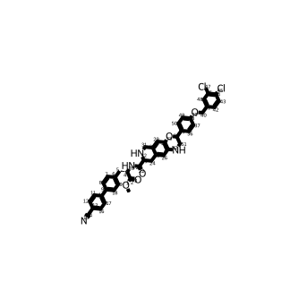 COC(=O)[C@H](Cc1ccc(-c2ccc(C#N)cc2)cc1)NC(=O)C1Cc2cc3c(cc2CN1)OC(c1ccc(OCc2ccc(Cl)c(Cl)c2)cc1)CN3